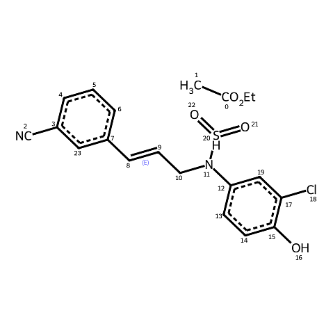 CCOC(C)=O.N#Cc1cccc(/C=C/CN(c2ccc(O)c(Cl)c2)[SH](=O)=O)c1